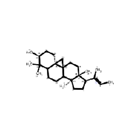 C/C=C(\C)[C@H]1CC[C@@]2(C)C3CCC4C(C)(C)[C@@H](OC(C)=O)CC[C@@]45C[C@@]35CC[C@]12C